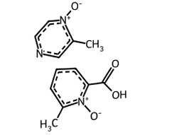 Cc1cccc(C(=O)O)[n+]1[O-].Cc1cncc[n+]1[O-]